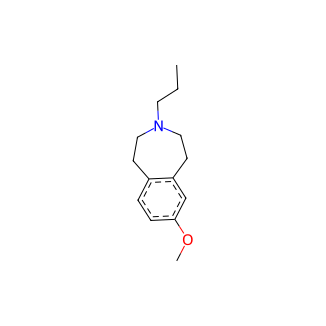 CCCN1CCc2ccc(OC)cc2CC1